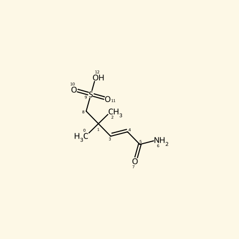 CC(C)(C=CC(N)=O)CS(=O)(=O)O